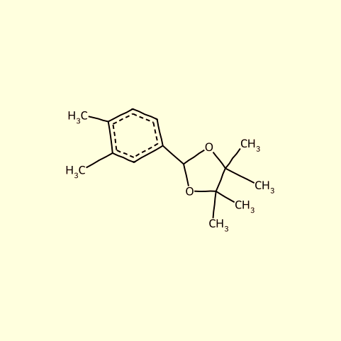 Cc1ccc(C2OC(C)(C)C(C)(C)O2)cc1C